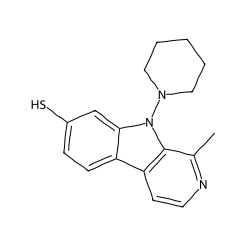 Cc1nccc2c3ccc(S)cc3n(N3CCCCC3)c12